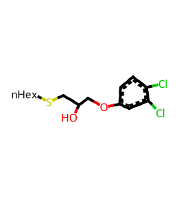 CCCCCCSCC(O)COc1ccc(Cl)c(Cl)c1